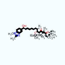 Cc1nc2cc([C@@H](O)C/C=C/CCC[C@H](C)[C@H](O[Si](C)(C)C(C)(C)C)[C@@H](C)C(=O)C(C)(C)[C@H](CC(=O)O)O[Si](C)(C)C(C)(C)C)ccc2n1C